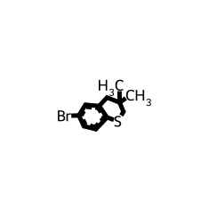 CC1(C)CSc2ccc(Br)cc2C1